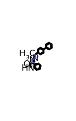 C/C(=N\N=C1\C(=O)Nc2ccccc21)c1ccc(-c2ccccc2)cc1